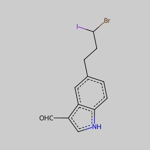 O=Cc1c[nH]c2ccc(CCC(Br)I)cc12